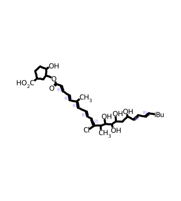 CCC(C)/C=C/C=C/C(O)CC(O)C(O)C(O)C(C)/C(Cl)=C/C=C/C=C(C)/C=C/C=C/C(=O)OC1CC(C(=O)O)CCC1O